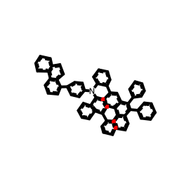 c1ccc(-c2ccc(N(c3ccc(-c4cccc5c4ccc4ccccc45)cc3)c3ccccc3-c3ccc4c(c3)c(-c3ccccc3)c(-c3ccccc3)c3ccccc34)c3ccccc23)cc1